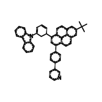 CC(C)(C)c1cc2ccc3c(-c4ccc(-c5cccnc5)cc4)cc(C4C=CC=C(n5c6ccccc6c6ccccc65)C4)c4ccc(c1)c2c34